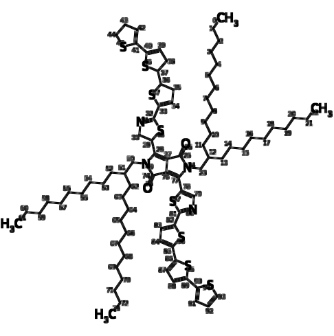 CCCCCCCCCCCCC(CCCCCCCCCC)CN1C(=O)C2=C(C3CN=C(C4=CCC(C5CC=C(C6=CCCS6)S5)S4)S3)N(CC(CCCCCCCCCC)CCCCCCCCCCCC)C(=O)C2=C1c1cnc(-c2ccc(-c3ccc(-c4cccs4)s3)s2)s1